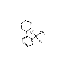 CC(C)(C)[n+]1ccccc1C1CCCCC1